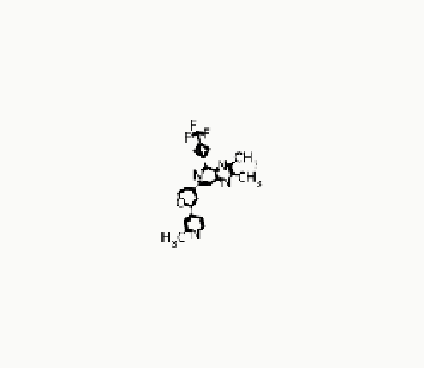 Cc1cc([C@H]2C[C@@H](c3cc4nc(C)c(C)nc4c([C@]45C[C@@](C(F)(F)F)(C4)C5)n3)CCO2)ccn1